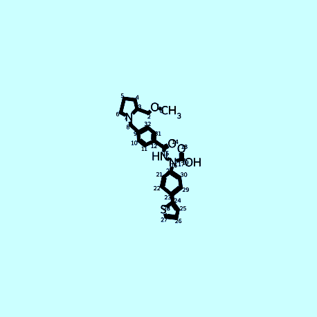 COCC1CCCN1Cc1ccc(C(=O)NN(C(=O)O)c2ccc(-c3cccs3)cc2)cc1